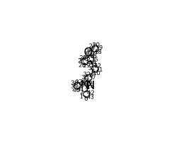 c1ccc(-c2nc3cc(-c4cccc(-c5cc6c7ccccc7oc6c6ccccc56)c4)ccc3n2-c2ccccc2)cc1